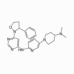 CN(C)C1CCN(c2ccc(Nc3cc(N4OCCC4c4ccccc4)ncn3)nc2)CC1